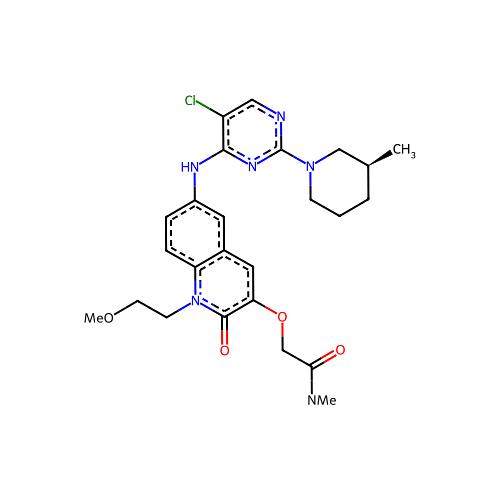 CNC(=O)COc1cc2cc(Nc3nc(N4CCC[C@H](C)C4)ncc3Cl)ccc2n(CCOC)c1=O